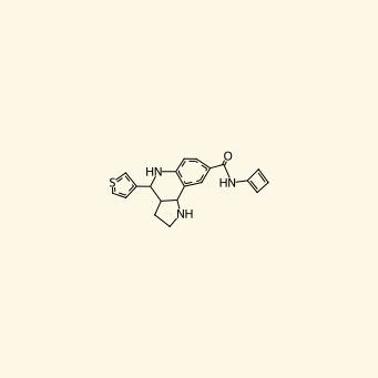 O=C(NC1=CC=C1)c1ccc2c(c1)C1NCCC1C(c1ccsc1)N2